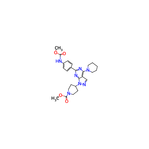 COC(=O)Nc1ccc(-c2nc(N3CCCCC3)c3cnn(C4CCN(C(=O)OC)CC4)c3n2)cc1